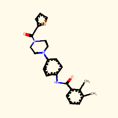 Cc1cccc(C(=O)Nc2ccc(N3CCN(C(=O)c4cccs4)CC3)cc2)c1C